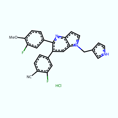 COc1ccc(-c2nc3ccn(Cc4cc[nH]c4)c3cc2-c2ccc(C#N)c(F)c2)cc1F.Cl